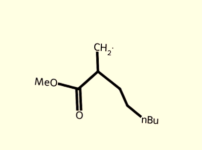 [CH2]C(CCCCCC)C(=O)OC